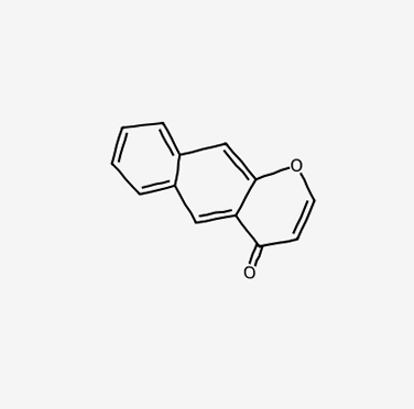 O=c1ccoc2cc3ccccc3cc12